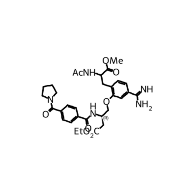 CCOC(=O)C[C@H](COc1cc(C(=N)N)ccc1CC(NC(C)=O)C(=O)OC)NC(=O)c1ccc(C(=O)N2CCCC2)cc1